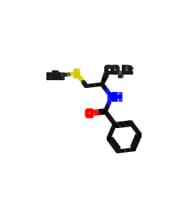 CCCCSC[C@H](NC(=O)c1ccccc1)C(=O)OCC